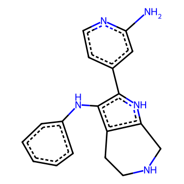 Nc1cc(-c2[nH]c3c(c2Nc2ccccc2)CCNC3)ccn1